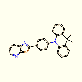 CC1(C)c2ccccc2N(c2ccc(-c3nc4cccnc4s3)cc2)c2ccccc21